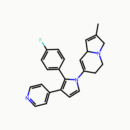 CC1=CC2C=C(n3ccc(-c4ccncc4)c3-c3ccc(F)cc3)CCN2C1